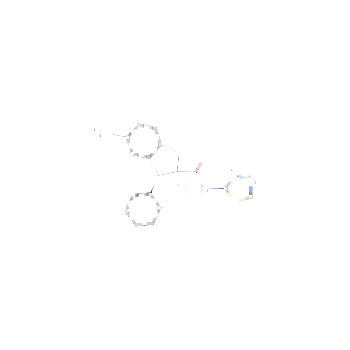 CC[C@@]1(C(=O)Nc2nncs2)Cc2ccc(C#N)cc2[C@@H]1c1ccccc1